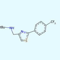 CC(C)(C)NCc1csc(-c2ccc(C(F)(F)F)cc2)n1